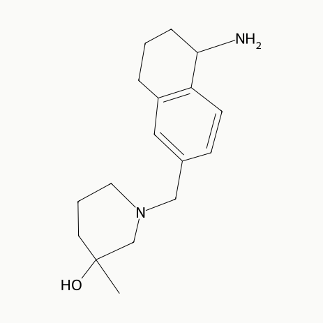 CC1(O)CCCN(Cc2ccc3c(c2)CCCC3N)C1